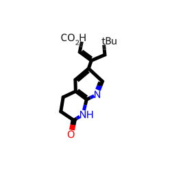 CC(C)(C)CC(=CC(=O)O)c1cnc2c(c1)CCC(=O)N2